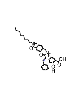 CCCCCCCCNC(=O)c1ccc(CN(Cc2ccc(O)c(C(=O)O)c2)C(=O)/C=C/c2ccccc2)cc1